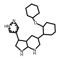 c1n[nH]cc1C1CNC2NCC(C3CCCCC3OC3CCCCC3)CC21